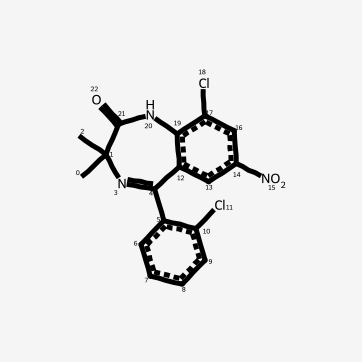 CC1(C)N=C(c2ccccc2Cl)c2cc([N+](=O)[O-])cc(Cl)c2NC1=O